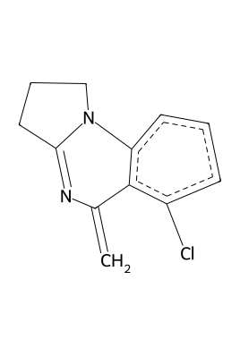 C=C1N=C2CCCN2c2cccc(Cl)c21